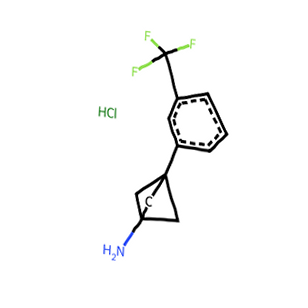 Cl.NC12CC(c3cccc(C(F)(F)F)c3)(C1)C2